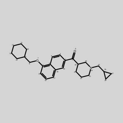 O=C(c1ccc2c(OCC3CCCCC3)cccc2c1)C1CCCN(CC2CC2)C1